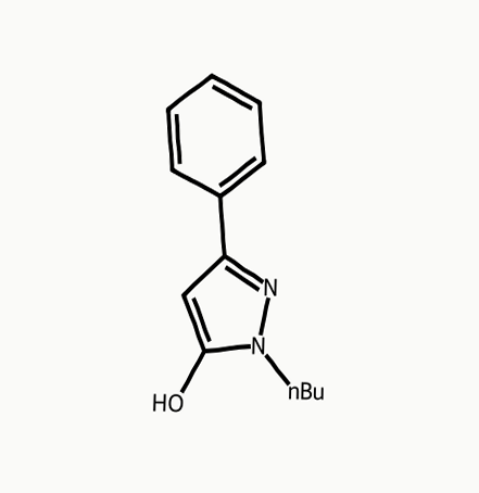 CCCCn1nc(-c2ccccc2)cc1O